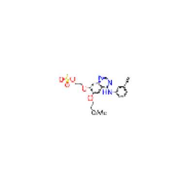 C#Cc1cccc(Nc2ncnc3cc(OCCOS(C)(=O)=O)c(OCCOC)cc23)c1